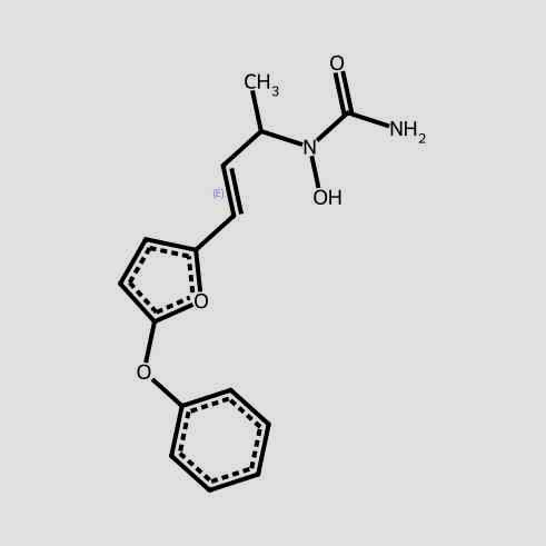 CC(/C=C/c1ccc(Oc2ccccc2)o1)N(O)C(N)=O